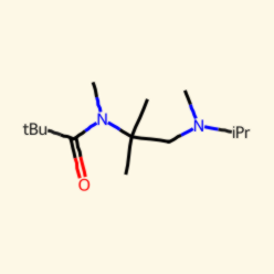 CC(C)N(C)CC(C)(C)N(C)C(=O)C(C)(C)C